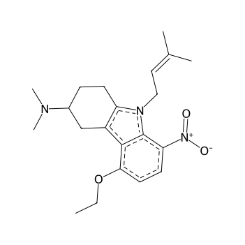 CCOc1ccc([N+](=O)[O-])c2c1c1c(n2CC=C(C)C)CCC(N(C)C)C1